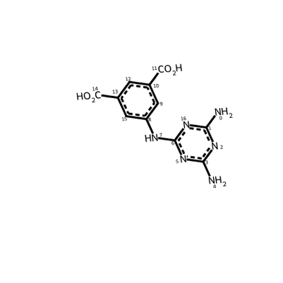 Nc1nc(N)nc(Nc2cc(C(=O)O)cc(C(=O)O)c2)n1